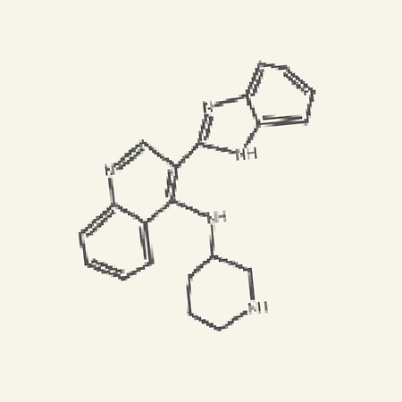 c1ccc2[nH]c(-c3cnc4ccccc4c3NC3CCCNC3)nc2c1